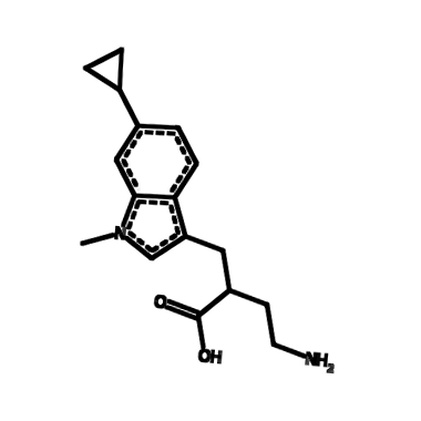 Cn1cc(CC(CCN)C(=O)O)c2ccc(C3CC3)cc21